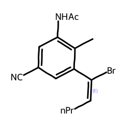 CCC/C=C(/Br)c1cc(C#N)cc(NC(C)=O)c1C